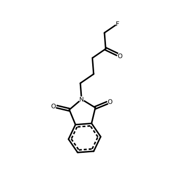 O=C(CF)CCCN1C(=O)c2ccccc2C1=O